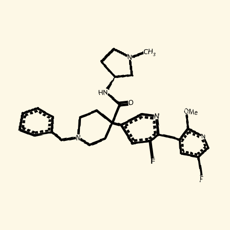 COc1ncc(F)cc1-c1ncc(C2(C(=O)N[C@H]3CCN(C)C3)CCN(Cc3ccccc3)CC2)cc1F